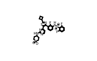 O=S1(=O)CCC(Nc2nccc(-c3sc(C4CCC4)nc3-c3cccc(NS(=O)(=O)c4c(F)cccc4F)c3F)n2)CC1